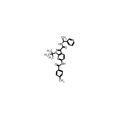 Cc1ccc(C(=O)Nc2ccc3c(C(=O)NC(C)c4cccnc4)nn(C(C)(C)C)c3n2)cc1